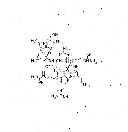 CN[C@@H](CCCNC(=N)N)C(=O)N[C@@H](CCCCN)C(=O)N[C@@H](CCCNC(=N)N)C(=O)N[C@@H](CCCNC(=N)N)C(=O)N[C@@H](CCCNC(=N)N)C(=O)N[C@@H](CC(C)C)C(=O)N[C@@H](CC(C)C)C(=O)N[C@@H](CO)C(N)=O